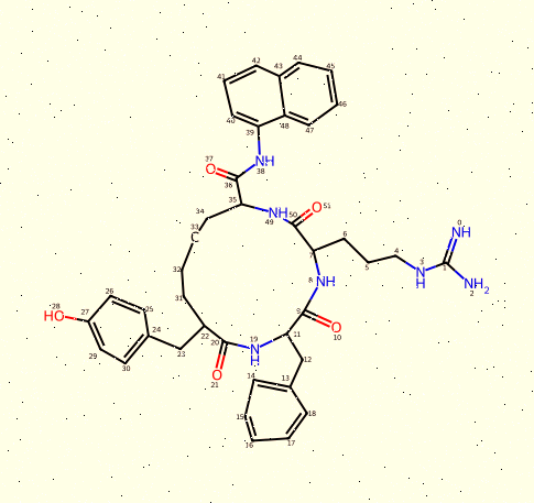 N=C(N)NCCCC1NC(=O)C(Cc2ccccc2)NC(=O)C(Cc2ccc(O)cc2)CCCCC(C(=O)Nc2cccc3ccccc23)NC1=O